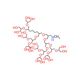 CNCC(COCC(CCCCC(COC(CO)CO)COC(CO)CO)COCC(COC(CO)CO)COC(CO)CO)COCC(COCC(COC(CO)CO)COC(CO)CO)COCC(COC(CO)CO)COC(CO)CO